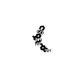 Cc1cn(C(C)C(=O)NCc2ccc3c(c2)CNC3)c2ccc(S(=O)(=O)N3CCCCC3)cc12